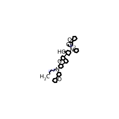 C=C/C=C\C=C\N(c1ccc2c(c1)Oc1ccc(-c3ccc(N(/C(C=C)=C/c4coc5ccccc45)c4ccccc4)cc3O)c3cccc-2c13)c1ccc2oc3ccccc3c2c1